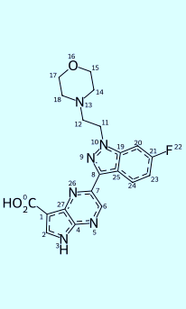 O=C(O)c1c[nH]c2ncc(-c3nn(CCN4CCOCC4)c4cc(F)ccc34)nc12